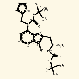 C[C@@H](Cc1sc2c(N(Cc3cccs3)C(=O)OC(C)(C)C)cnnc2c1Br)NC(=O)OC(C)(C)C